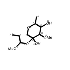 COC(CI)OC1(O)COC(C)C(O)C1OC